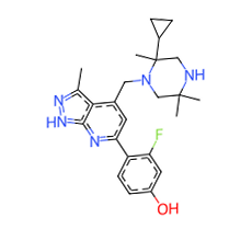 Cc1n[nH]c2nc(-c3ccc(O)cc3F)cc(CN3CC(C)(C)NCC3(C)C3CC3)c12